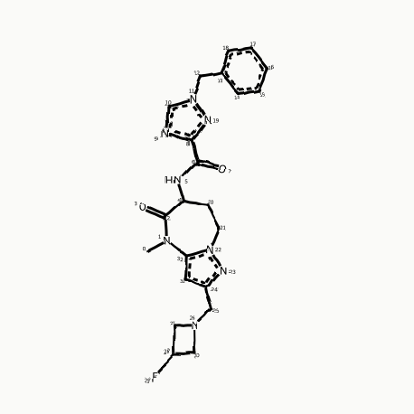 CN1C(=O)C(NC(=O)c2ncn(Cc3ccccc3)n2)CCn2nc(CN3CC(F)C3)cc21